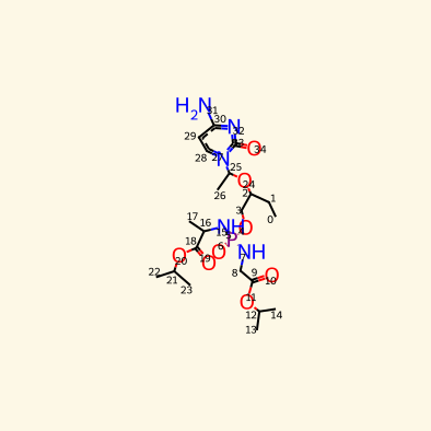 CCC(COP(=O)(NCC(=O)OC(C)C)NC(C)C(=O)OC(C)C)OC(C)n1ccc(N)nc1=O